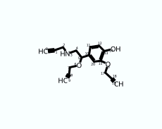 C#CCNCC(OCC#C)c1ccc(O)c(OCC#C)c1